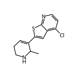 CC1NCCC=C1c1cc2c(Cl)ccnc2s1